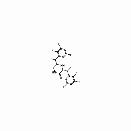 CC(c1cc(F)cc(F)c1F)[C@@H]1CNC(=O)[C@@H](C(C)c2cc(F)cc(F)c2F)N1